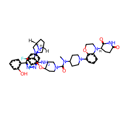 CN(C(=O)N1CCC(Oc2cc(N3[C@@H]4CC[C@H]3CN(c3cc(-c5ccccc5O)nnc3N)C4)cc(F)c2F)CC1)C1CCN(c2cccc3c2OCCN3[C@@H]2CCC(=O)NC2=O)CC1